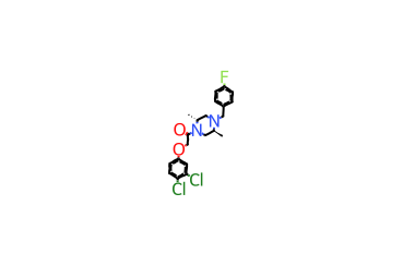 C[C@@H]1CN(Cc2ccc(F)cc2)[C@@H](C)CN1C(=O)COc1ccc(Cl)c(Cl)c1